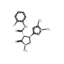 CN1C[C@H](c2cc(C(F)(F)F)n(C)n2)[C@@H](C(=O)Nc2ccccc2F)C1=O